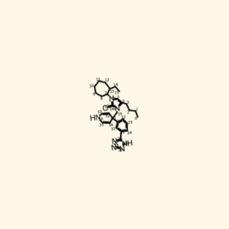 CCCCc1cn(C2CCCCCC2CC)c(=O)n1CC1(c2cccc(-c3nnn[nH]3)c2)C=CNC=C1